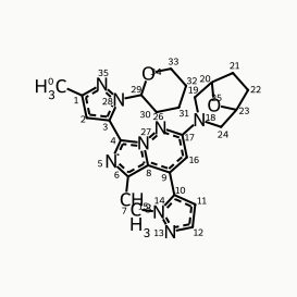 Cc1cc(-c2nc(C)c3c(-c4ccnn4C)cc(N4CC5CCC(C4)O5)nn23)n(C2CCCCO2)n1